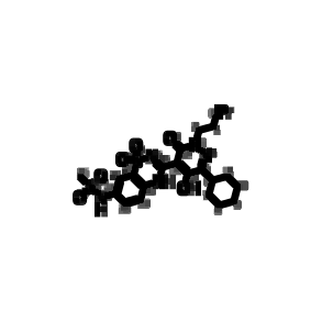 CC(C)CCn1nc(C2CCCCC2)c(O)c(C2=NS(=O)(=O)c3cc(NS(C)(=O)=O)ccc3N2)c1=O